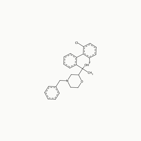 CC(O)(c1ccccc1-c1c(F)cccc1Cl)C1CN(Cc2ccccc2)CCO1